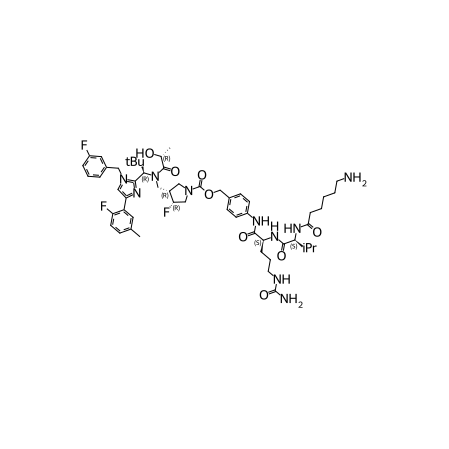 Cc1ccc(F)c(-c2cn(Cc3cccc(F)c3)c([C@H](N(C[C@@H]3CN(C(=O)OCc4ccc(NC(=O)[C@H](CCCNC(N)=O)NC(=O)[C@@H](NC(=O)CCCCCN)C(C)C)cc4)C[C@@H]3F)C(=O)[C@@H](C)O)C(C)(C)C)n2)c1